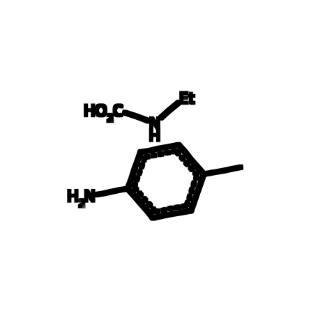 CCNC(=O)O.Cc1ccc(N)cc1